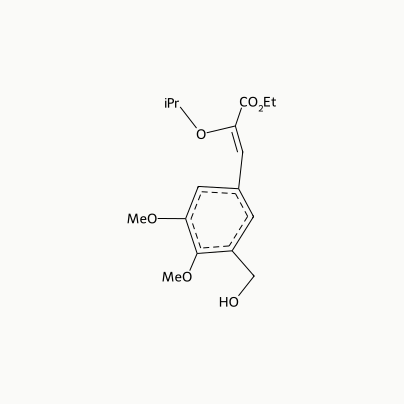 CCOC(=O)/C(=C/c1cc(CO)c(OC)c(OC)c1)OC(C)C